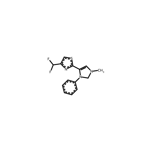 CN1C=C(c2nc(C(F)F)cs2)N(c2ccccc2)C1